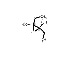 CC[C@@]1(C)O[C@@]1(C)CC